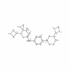 CC1(C(CC(=O)Nc2ccc(N3CCOC(C4CCC4)C3)nc2)C2CCC2)CC1